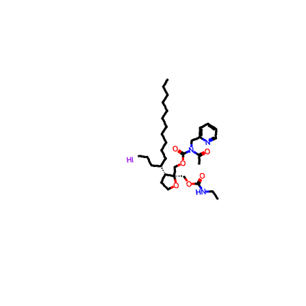 CCCCCCCCCCCC(CCC)[C@H]1CCO[C@]1(COC(=O)NCC)COC(=O)N(Cc1ccccn1)C(C)=O.I